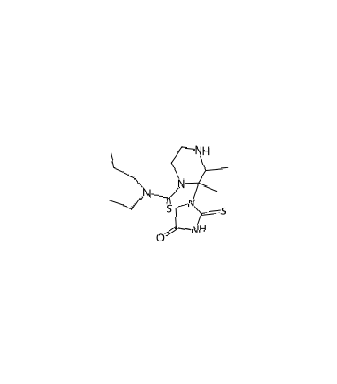 CCCN(CC)C(=S)N1CCNC(C)C1(C)N1CC(=O)NC1=S